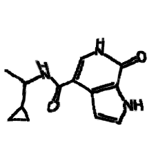 CC(NC(=O)c1c[nH]c(=O)c2[nH]ccc12)C1CC1